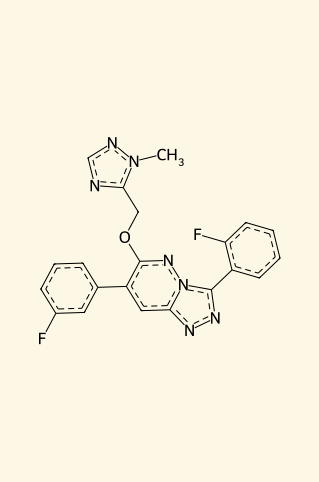 Cn1ncnc1COc1nn2c(-c3ccccc3F)nnc2cc1-c1cccc(F)c1